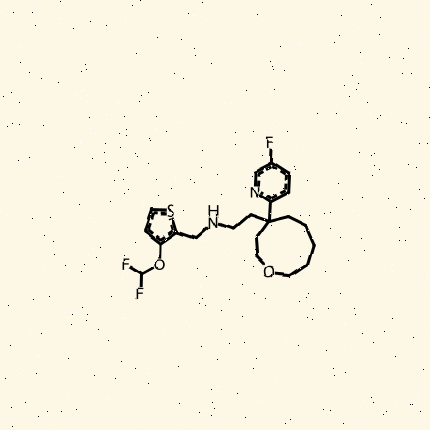 Fc1ccc(C2(CCNCc3sccc3OC(F)F)CCCCCOCC2)nc1